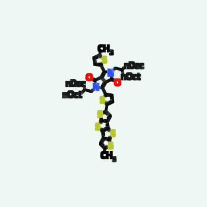 CCCCCCCCCCC(CCCCCCCC)CN1C(=O)C2=C(c3ccc(-c4cc5c(s4)sc4c6cc(C)sc6sc54)s3)N(CC(CCCCCCCC)CCCCCCCCCC)C(=O)C2=C1c1ccc(C)s1